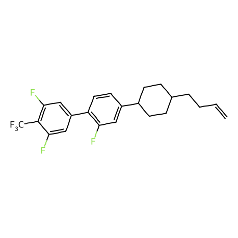 C=CCCC1CCC(c2ccc(-c3cc(F)c(C(F)(F)F)c(F)c3)c(F)c2)CC1